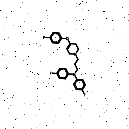 Fc1ccc(OC2=CCN(CCCN(c3ccc(F)cc3)c3ccc(F)cc3)CC2)cc1